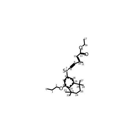 CCCOc1cc([Se]C#C/C(C)=C/C(=O)OCC)cc2c1C(C)(C)CCC2(C)C